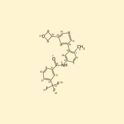 Cc1ccc(NC(=O)c2cccc(C(F)(F)F)c2)cc1-c1cccc(C2COC2)c1